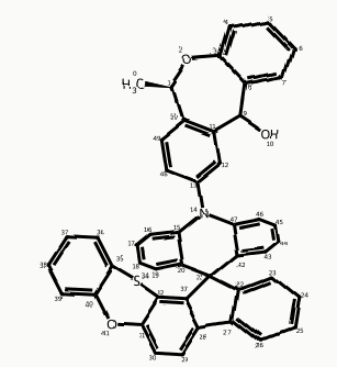 C[C@H]1Oc2ccccc2C(O)c2cc(N3c4ccccc4C4(c5ccccc5-c5ccc6c(c54)Sc4ccccc4O6)c4ccccc43)ccc21